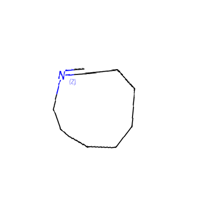 C1=N\CCCCCCC/1